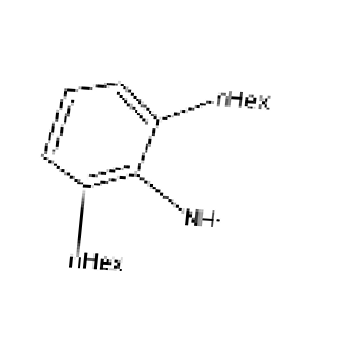 CCCCCCc1cccc(CCCCCC)c1[NH]